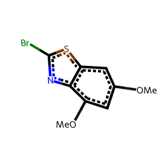 COc1cc(OC)c2nc(Br)sc2c1